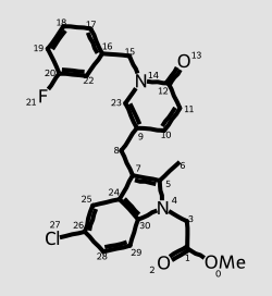 COC(=O)Cn1c(C)c(Cc2ccc(=O)n(Cc3cccc(F)c3)c2)c2cc(Cl)ccc21